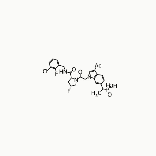 CC(=O)c1cn(CC(=O)N2C[C@H](F)C[C@H]2C(=O)NCc2cccc(Cl)c2F)c2cc(C(C)[PH](=O)O)ccc12